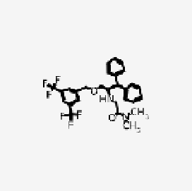 CN(C)C(=O)CNC(COCc1cc(C(F)(F)F)cc(C(F)(F)F)c1)C(c1ccccc1)c1ccccc1